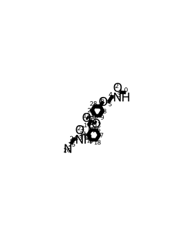 CC(=O)NCCOc1ccc(S(=O)(=O)C[C@H]2CCCC[C@@H]2C(=O)NCC#N)cc1